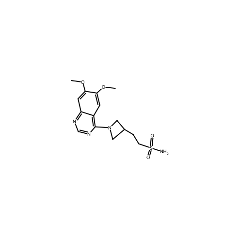 COc1cc2ncnc(N3CC(CCS(N)(=O)=O)C3)c2cc1OC